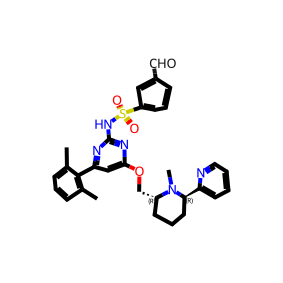 Cc1cccc(C)c1-c1cc(OC[C@H]2CCC[C@H](c3ccccn3)N2C)nc(NS(=O)(=O)c2cccc(C=O)c2)n1